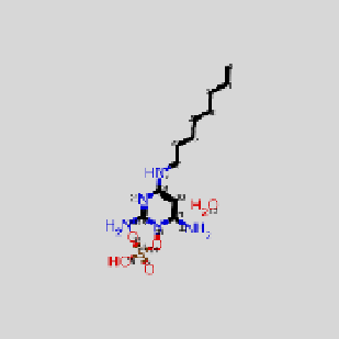 CCCCCCCCNC1=CC(N)N(OS(=O)(=O)O)C(N)=N1.O